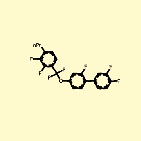 CCCc1ccc(C(F)(F)Oc2ccc(-c3ccc(F)c(F)c3)c(F)c2)c(F)c1F